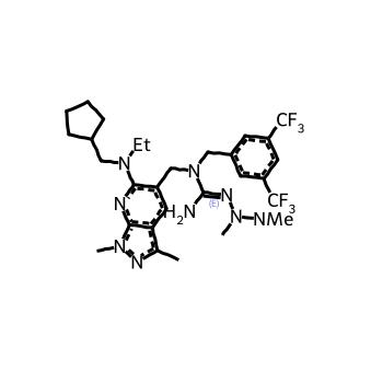 CCN(CC1CCCC1)c1nc2c(cc1CN(Cc1cc(C(F)(F)F)cc(C(F)(F)F)c1)/C(N)=N/N(C)NC)c(C)nn2C